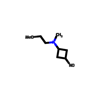 COCCN(C)C1CC(N=O)C1